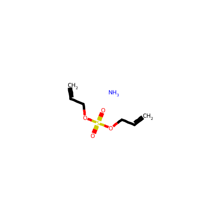 C=CCOS(=O)(=O)OCC=C.N